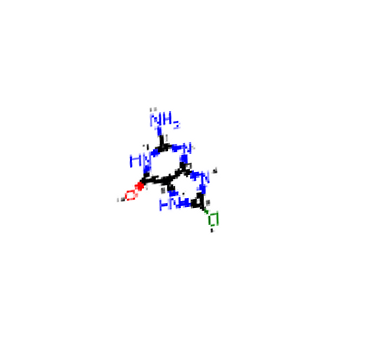 Nc1nc2nc(Cl)[nH]c2c(=O)[nH]1